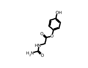 NC(=O)NCC(=O)Oc1ccc(O)cc1